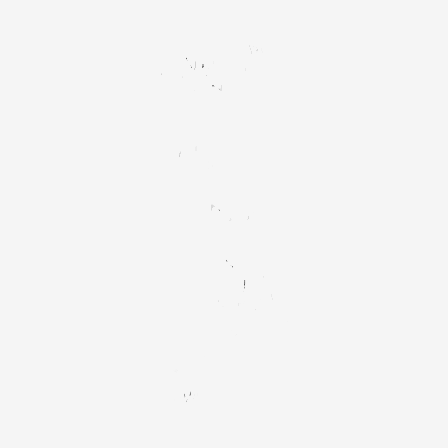 COc1ccc(CC2OCC(C)(C)[C@H](C(=O)NCCC(=O)NCCSC(=O)CCC(NC(=O)OC(C)(C)C)C(N)=O)O2)cc1